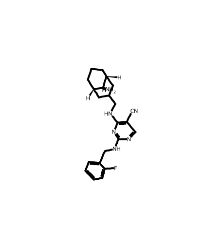 N#Cc1cnc(NCc2ccccc2F)nc1NCC1C[C@H]2CCC[C@@H](C1)[C@@H]2N